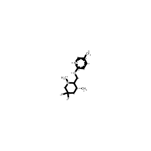 C[C@@H]1CC(F)(F)CN(C)C1COc1ccc(C(F)(F)F)cn1